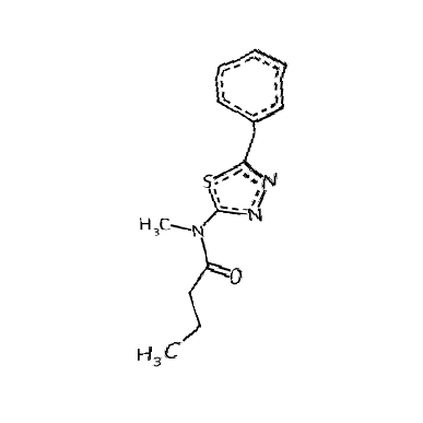 CCCC(=O)N(C)c1nnc(-c2ccccc2)s1